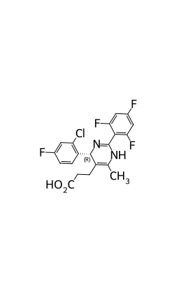 CC1=C(CCC(=O)O)[C@H](c2ccc(F)cc2Cl)N=C(c2c(F)cc(F)cc2F)N1